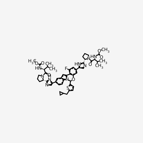 COC(=O)N[C@H](C(=O)N1CCC[C@H]1c1ncc(-c2cc(F)c3c(c2)OC(c2ccc(CC4CC4)s2)n2c-3cc3cc(-c4cnc([C@@H]5CCCN5C(=O)[C@@H](NC(=O)OC)C(C)C)[nH]4)ccc32)[nH]1)C(C)C